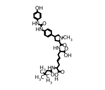 CN1CC(c2ccc(NC(=O)Nc3ccc(O)cc3)cc2)CC1C(=O)NC(C/C=C/CC(NC(=O)CC(C)(C)C)C(=O)O)C(=O)O